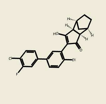 CCc1ccc(-c2ccc(Cl)c(F)c2)cc1C1=C(O)[C@H]2[C@H]3CC[C@H](C3)[C@H]2C1=O